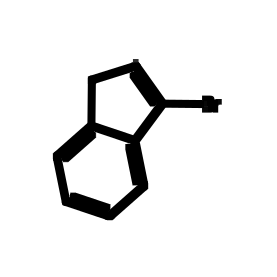 BrC1=[C]Cc2ccccc21